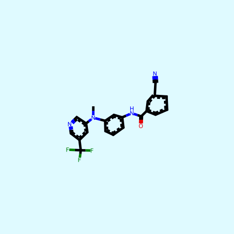 CN(c1cccc(NC(=O)c2cccc(C#N)c2)c1)c1cncc(C(F)(F)F)c1